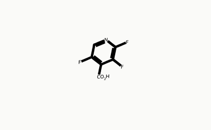 O=C(O)c1c(F)cnc(F)c1F